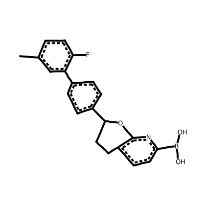 Cc1ccc(F)c(-c2ccc(C3CCc4ccc(B(O)O)nc4O3)cc2)c1